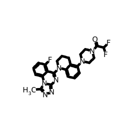 Cc1nnc2nc(N3CCCc4c(N5CCN(C(=O)C(F)F)CC5)cccc43)c3c(F)cccc3n12